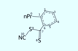 CCCc1ccccc1C(=S)SC#N